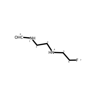 O=CNCCNCCF